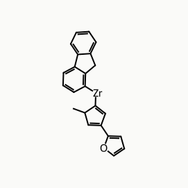 CC1C=C(c2ccco2)C=[C]1[Zr][c]1cccc2c1Cc1ccccc1-2